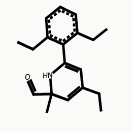 CCC1=CC(C)(C=O)NC(c2c(CC)cccc2CC)=C1